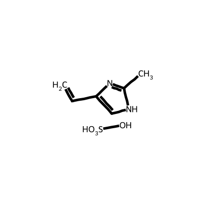 C=Cc1c[nH]c(C)n1.O=S(=O)(O)O